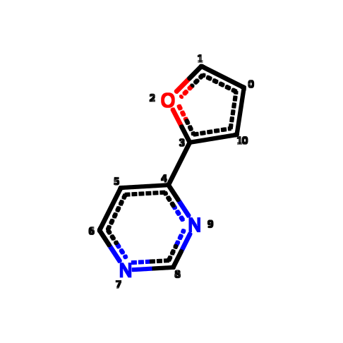 c1coc(-c2ccncn2)c1